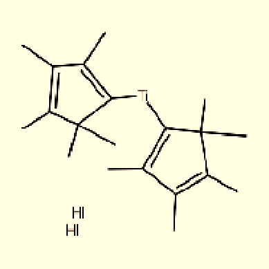 CC1=C(C)C(C)(C)[C]([Ti][C]2=C(C)C(C)=C(C)C2(C)C)=C1C.I.I